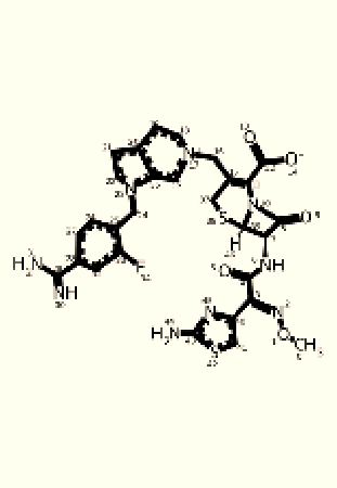 CON=C(C(=O)N[C@@H]1C(=O)N2C(C(=O)[O-])=C(C[n+]3ccc4ccn(Cc5ccc(C(=N)N)cc5F)c4c3)CS[C@H]12)c1csc(N)n1